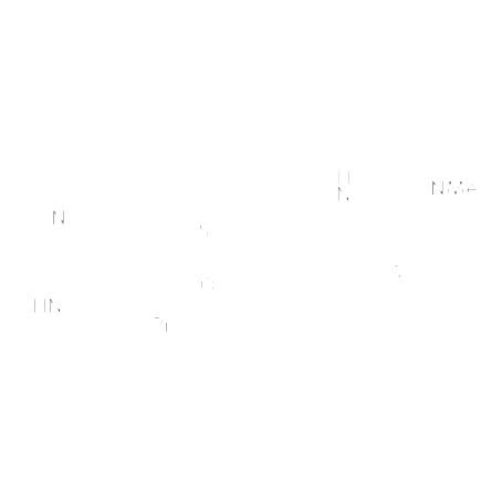 CNC(=S)NCC[S+]([O-])Cc1nc[nH]c1C(C)C